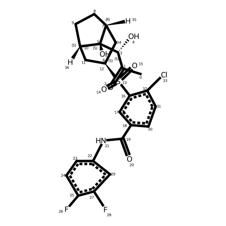 CC(=O)[C@@H](O)[C@@]1(O)[C@@H]2CC[C@H]1C[C@H](S(=O)(=O)c1cc(C(=O)Nc3ccc(F)c(F)c3)ccc1Cl)C2